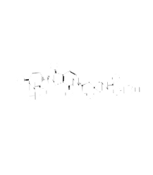 CC(C)(C)OC(=O)N1CC2(C[C@@H](n3ccc4c(c3=O)CN([C@H]3CCC(=O)NC3=O)C4=O)CO2)C1